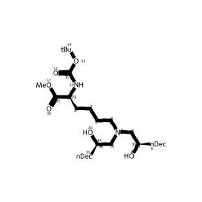 CCCCCCCCCC[C@@H](O)CN(CCCC[C@H](NC(=O)OC(C)(C)C)C(=O)OC)C[C@H](O)CCCCCCCCCC